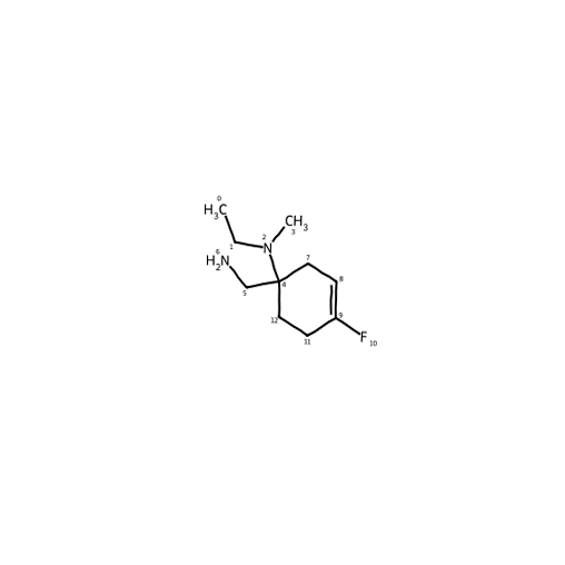 CCN(C)C1(CN)CC=C(F)CC1